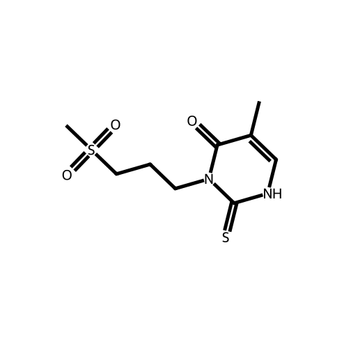 Cc1c[nH]c(=S)n(CCCS(C)(=O)=O)c1=O